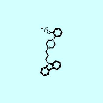 COc1ccccc1N1CCN(CCCn2c3ccccc3c3ccccc32)CC1